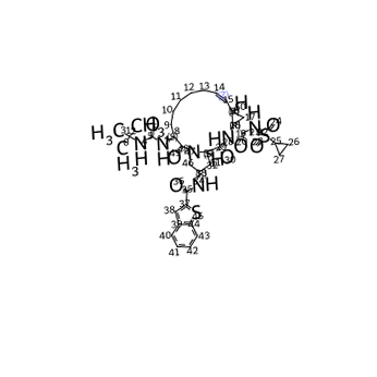 CC(C)(C)NC(=O)N[C@H]1CCCCC/C=C\[C@@H]2C[C@@]2(C(=O)NS(=O)(=O)C2CC2)NC(=O)[C@@H]2C[C@@H](NC(=O)c3cc4ccccc4s3)CN2C1=O